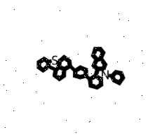 c1ccc(-n2c3cc4ccccc4cc3c3c(-c4ccc(-c5ccc6c7c(cccc57)-c5ccccc5S6)cc4)cccc32)cc1